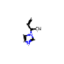 C=CC(C#N)n1ccnc1